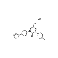 CN1CCN(c2nc(CCC=O)cn(-c3ccc(-n4ccnn4)cc3)c2=O)CC1